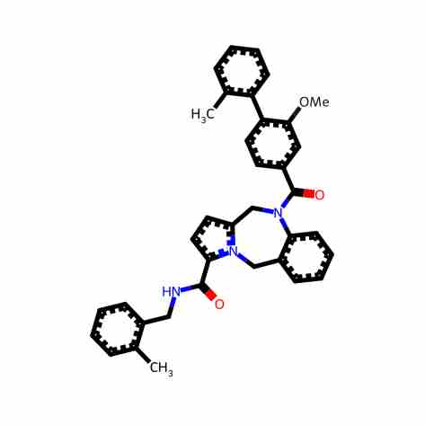 COc1cc(C(=O)N2Cc3ccc(C(=O)NCc4ccccc4C)n3Cc3ccccc32)ccc1-c1ccccc1C